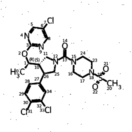 C[C@@H](Oc1ncc(Cl)cn1)[C@@H]1CN(C(=O)N2CCN(S(C)(=O)=O)CC2)CC1c1ccc(Cl)c(Cl)c1